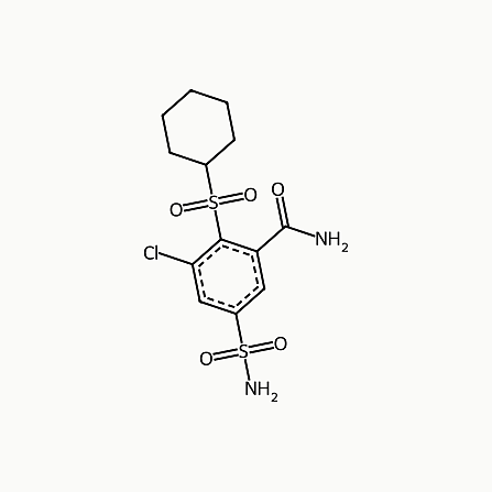 NC(=O)c1cc(S(N)(=O)=O)cc(Cl)c1S(=O)(=O)C1CCCCC1